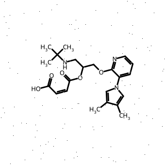 Cc1cn(-c2cccnc2OCC(CNC(C)(C)C)OC(=O)/C=C\C(=O)O)cc1C